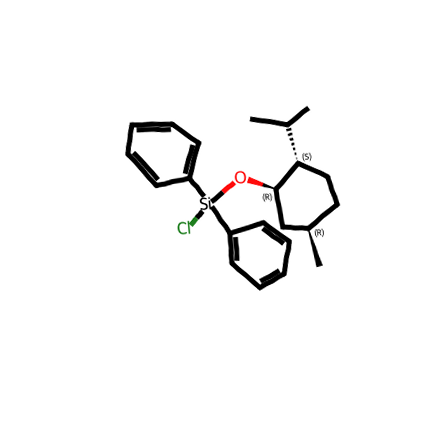 CC(C)[C@@H]1CC[C@@H](C)C[C@H]1O[Si](Cl)(c1ccccc1)c1ccccc1